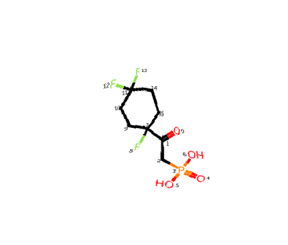 O=C(CP(=O)(O)O)C1(F)CCC(F)(F)CC1